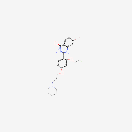 Cn1c(-c2ccc(OCCCN3CCCCC3)cc2OCCF)nc2cc(Br)ccc2c1=O